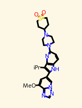 COc1cc(-c2[nH]c3ccc(N4CCN(C5CCS(=O)(=O)CC5)CC4)nc3c2C(C)C)cn2ncnc12